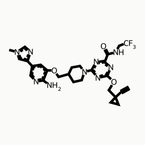 C#CC1(COc2nc(C(=O)NCC(F)(F)F)nc(N3CCC(COc4cc(-c5cn(C)cn5)cnc4N)CC3)n2)CC1